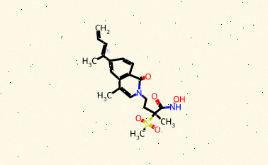 C=C/C=C(\C)c1ccc2c(=O)n(CCC(C)(C(=O)NO)S(C)(=O)=O)cc(C)c2c1